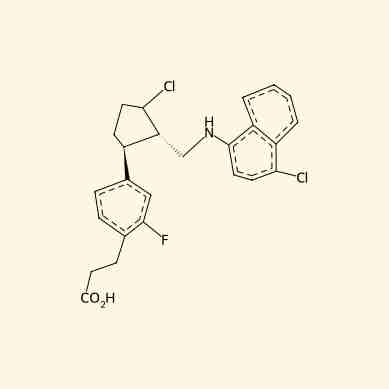 O=C(O)CCc1ccc([C@H]2CCC(Cl)[C@@H]2CNc2ccc(Cl)c3ccccc23)cc1F